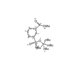 CCCCP(CCCC)(CCCC)(CCCC)OS(=O)(=O)c1cccc(C(=O)OC)c1